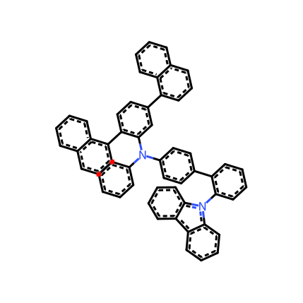 c1ccc(N(c2ccc(-c3ccccc3-n3c4ccccc4c4ccccc43)cc2)c2cc(-c3cccc4ccccc34)ccc2-c2cccc3ccccc23)cc1